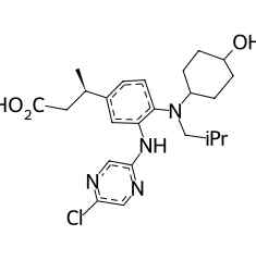 CC(C)CN(c1ccc([C@H](C)CC(=O)O)cc1Nc1cnc(Cl)cn1)C1CCC(O)CC1